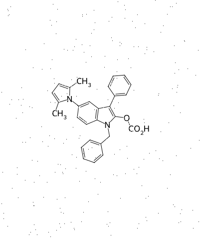 Cc1ccc(C)n1-c1ccc2c(c1)c(-c1ccccc1)c(OC(=O)O)n2Cc1ccccc1